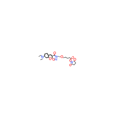 CCN(CC)c1ccc2cc(C(=O)NCCOCCCCC(=O)ON3C(=O)CCC3=O)c(=O)oc2c1